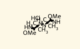 COC(=N)C(C)(C)/N=N/C(C)(C)C(=N)OC.Cl